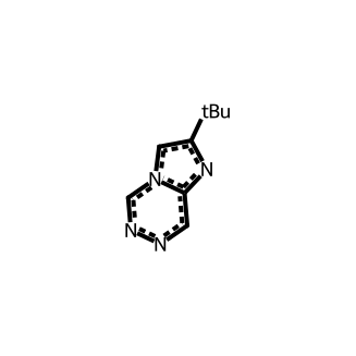 CC(C)(C)c1cn2cnncc2n1